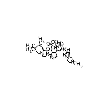 C=C1/C=C2/C(=O)N(c3nccc(-c4cc(Nc5cc6n(n5)CCN(C)C6)c(=O)n(C)n4)c3COC(C)=O)CCN2CCC(C)(C)C1